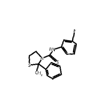 CC1(c2ccccc2)SCCN1C(=S)Nc1cccc(F)c1